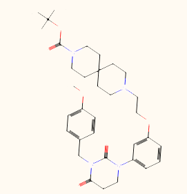 COc1ccc(CN2C(=O)CCN(c3cccc(OCCN4CCC5(CC4)CCN(C(=O)OC(C)(C)C)CC5)c3)C2=O)cc1